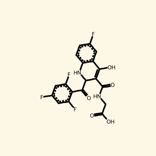 O=C(O)CNC(=O)C1=C(O)c2cc(F)ccc2NC1C(=O)c1c(F)cc(F)cc1F